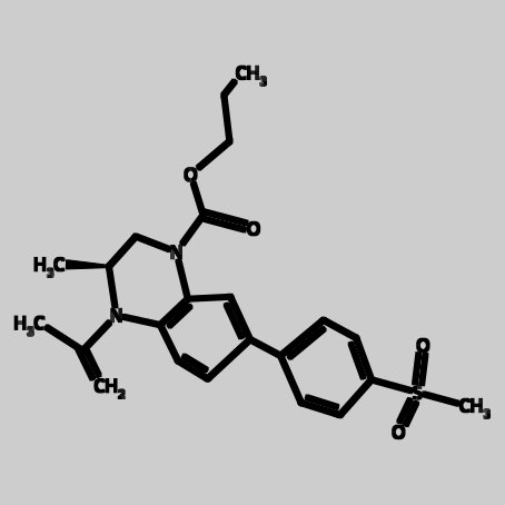 C=C(C)N1c2ccc(-c3ccc(S(C)(=O)=O)cc3)cc2N(C(=O)OCCC)C[C@@H]1C